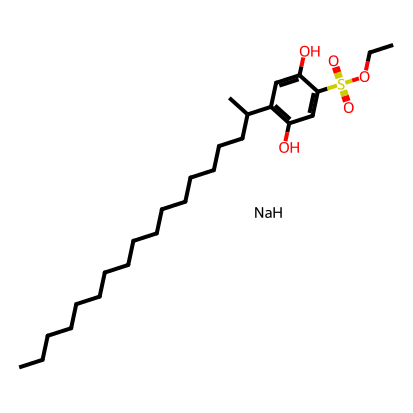 CCCCCCCCCCCCCCCCC(C)c1cc(O)c(S(=O)(=O)OCC)cc1O.[NaH]